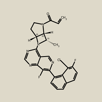 C=CC(=O)N1CC[C@@H]2[C@H]1[C@H](C)N2c1ncnc2c(F)c(-c3cccc4ccc(F)c(Cl)c34)ncc12